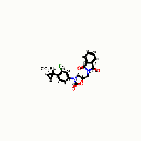 CCOC(=O)C1(c2ccc(N3CC(CN4C(=O)c5ccccc5C4=O)OC3=O)cc2F)CC1